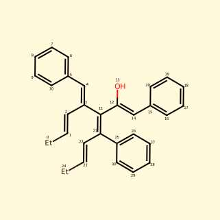 CCC=CC(=Cc1ccccc1)C(C(O)=Cc1ccccc1)=C(C=CCC)c1ccccc1